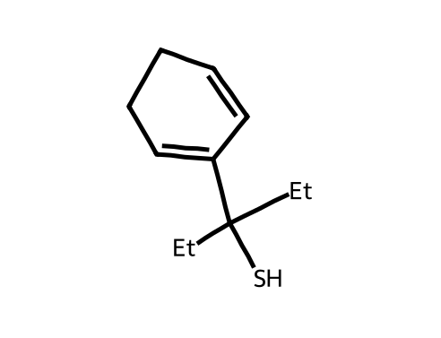 CCC(S)(CC)C1=CCCC=C1